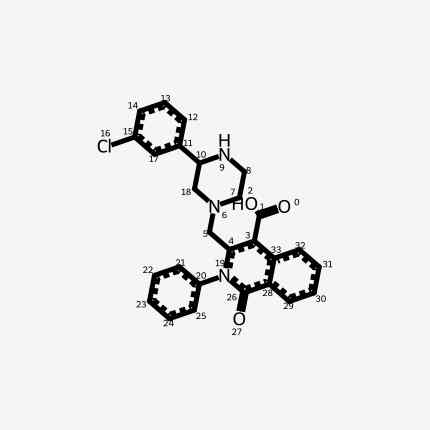 O=C(O)c1c(CN2CCNC(c3cccc(Cl)c3)C2)n(-c2ccccc2)c(=O)c2ccccc12